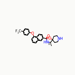 C[C@@H](NC(=O)c1ccc2c(Oc3ccc(C(F)(F)F)cc3)cccc2c1)C1(O)CCNCC1